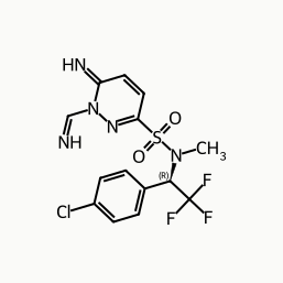 CN([C@H](c1ccc(Cl)cc1)C(F)(F)F)S(=O)(=O)c1ccc(=N)n(C=N)n1